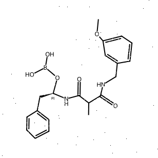 COc1cccc(CNC(=O)C(C)C(=O)N[C@@H](Cc2ccccc2)OB(O)O)c1